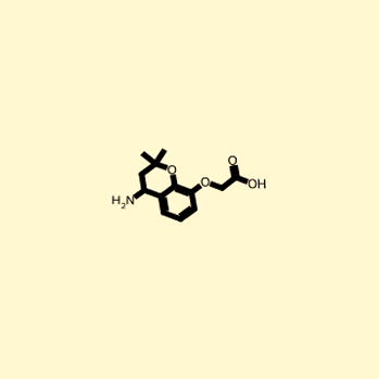 CC1(C)CC(N)c2cccc(OCC(=O)O)c2O1